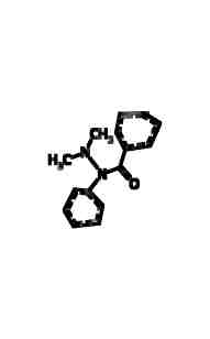 CN(C)N(C(=O)c1cc[c]cc1)c1ccccc1